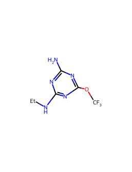 CCNc1nc(N)nc(OC(F)(F)F)n1